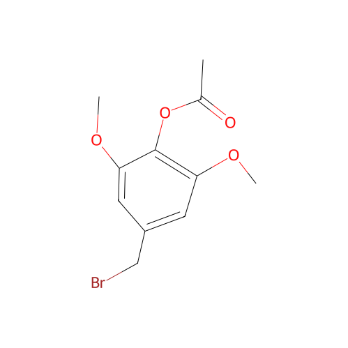 COc1cc(CBr)cc(OC)c1OC(C)=O